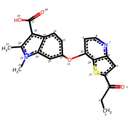 CCC(=O)c1cc2nccc(Oc3ccc4c(C(=O)O)c(C)n(C)c4c3)c2s1